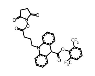 O=C(CCCN1c2ccccc2C(C(=O)Oc2c(C(F)(F)F)cccc2C(F)(F)F)c2ccccc21)ON1C(=O)CCC1=O